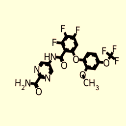 COc1cc(OC(F)(F)F)ccc1Oc1cc(F)c(F)c(F)c1C(=O)Nc1cnc(C(N)=O)nc1